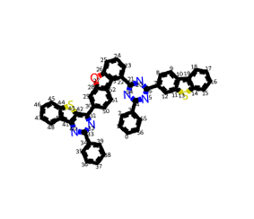 c1ccc(-c2nc(-c3ccc4c(c3)sc3ccccc34)nc(-c3cccc4oc5cc(-c6nc(-c7ccccc7)nc7c6sc6ccccc67)ccc5c34)n2)cc1